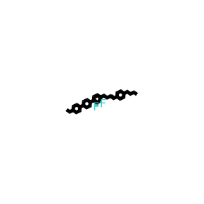 CCCCC1CCC(/C=C/CCc2ccc(C3CCC(C4CCC(CC)CC4)CC3)c(F)c2F)CC1